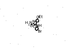 CCOc1[c]cc2c(Nc3cccc(Br)c3)c(C#N)c(C(N)=O)nc2c1